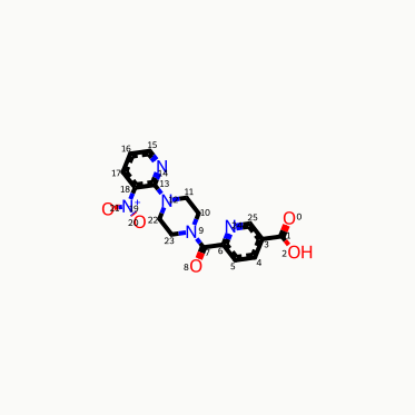 O=C(O)c1ccc(C(=O)N2CCN(c3ncccc3[N+](=O)[O-])CC2)nc1